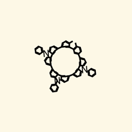 Cc1ccc2cc1c1cc(ccc1C)c1ccc3c(c1)c1cc(ccc1n3-c1ccccc1)c1ccc3c(c1)c1cc(ccc1n3-c1ccccc1)c1ccc3c(c1)c1cc2ccc1n3-c1ccccc1